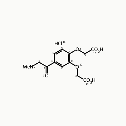 CNCC(=O)c1ccc(OCC(=O)O)c(OCC(=O)O)c1.Cl